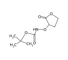 CC(C)(C)OC(=O)NOC1CCOC1=O